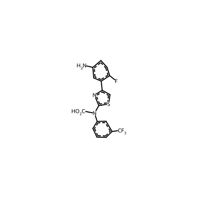 Nc1ccc(F)c(-c2csc(N(C(=O)O)c3cccc(C(F)(F)F)c3)n2)c1